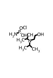 CC(C)N(CCO)C(C)C.NP(O)OCl